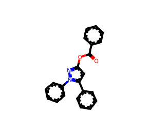 O=C(Oc1cc(-c2ccccc2)n(-c2ccccc2)n1)c1ccccc1